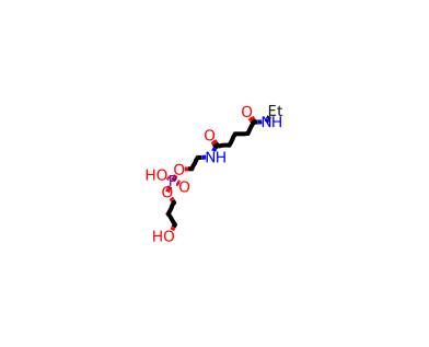 CCNC(=O)CCCC(=O)NCCOP(=O)(O)OCCCO